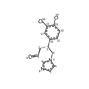 O=CC[C@@H](Cn1ccnc1)c1ccc(Cl)c(Cl)c1